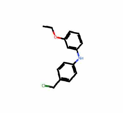 CCOc1cccc(Nc2ccc(CCl)cc2)c1